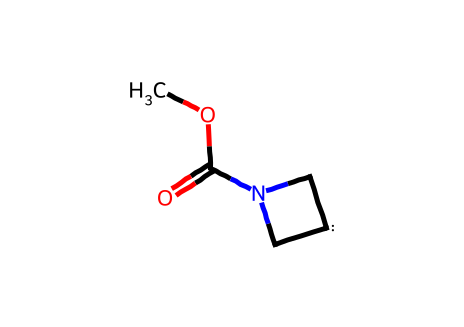 COC(=O)N1C[C]C1